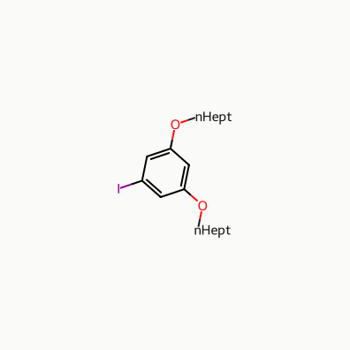 CCCCCCCOc1cc(I)cc(OCCCCCCC)c1